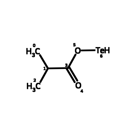 CC(C)C(=O)O[TeH]